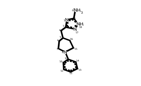 Nc1nc(CC2CCN(c3ccccc3)CC2)n[nH]1